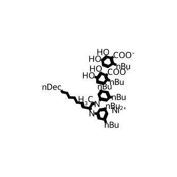 CCCCCCCCCCCCCCCC=CC(=Nc1cc(CCCC)cc(CCCC)c1)C(C)=Nc1cc(CCCC)cc(CCCC)c1.CCCCc1ccc(O)c(O)c1C(=O)[O-].CCCCc1ccc(O)c(O)c1C(=O)[O-].[Ni+2]